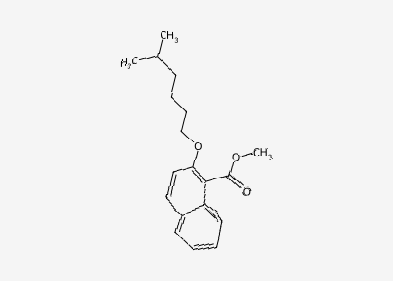 COC(=O)c1c(OCCCCC(C)C)ccc2ccccc12